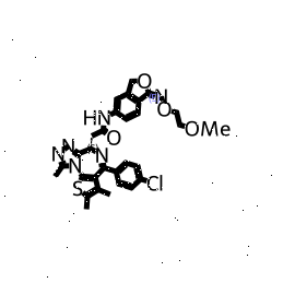 COCCO/N=C1/OCc2cc(NC(=O)C[C@@H]3N=C(c4ccc(Cl)cc4)c4c(sc(C)c4C)-n4c(C)nnc43)ccc21